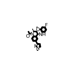 COc1cc(F)ccc1N[C@@H]1C[C@H](C)N(C(C)=O)c2ccc(-c3ccn(C)n3)cc21